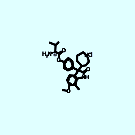 COc1ccc2c(c1C)NC(=O)C2(c1ccc(OC(=O)[C@@H](N)C(C)C)cc1)C1CCCCCC1.Cl